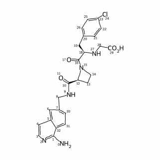 Nc1nccc2cc(CNC(=O)[C@@H]3CCN3C(=O)[C@@H](Cc3ccc(Cl)cc3)NCC(=O)O)ccc12